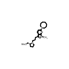 COC[C@@H]1CCCN1CCCc1nn(C)c2nc(N3CCCCCCC3)ccc12